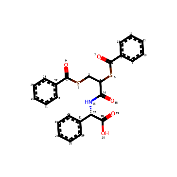 O=C(SCC(SC(=O)c1ccccc1)C(=O)N[C@H](C(=O)O)c1ccccc1)c1ccccc1